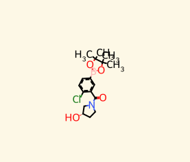 CC1(C)OB(c2ccc(Cl)c(C(=O)N3CC[C@H](O)C3)c2)OC1(C)C